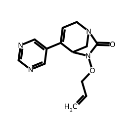 C=CCON1C(=O)N2CC=C(c3cncnc3)C1C2